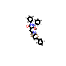 O=C1C(=Cc2nc3sc(-c4ccccc4)cc3s2)C(=O)N(c2ccccc2)N1c1ccccc1